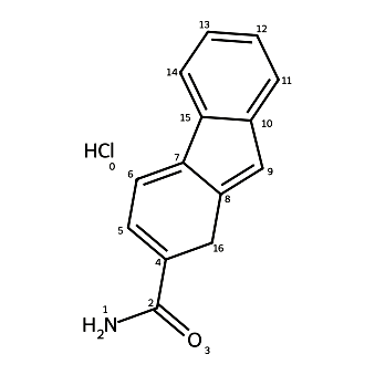 Cl.NC(=O)C1=CC=C2C(=Cc3ccccc32)C1